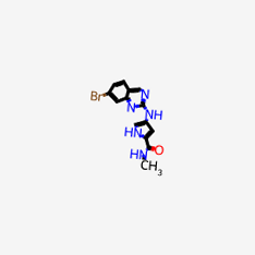 CNC(=O)c1cc(Nc2ncc3ccc(Br)cc3n2)c[nH]1